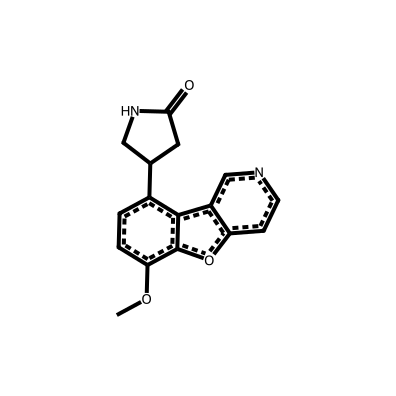 COc1ccc(C2CNC(=O)C2)c2c1oc1ccncc12